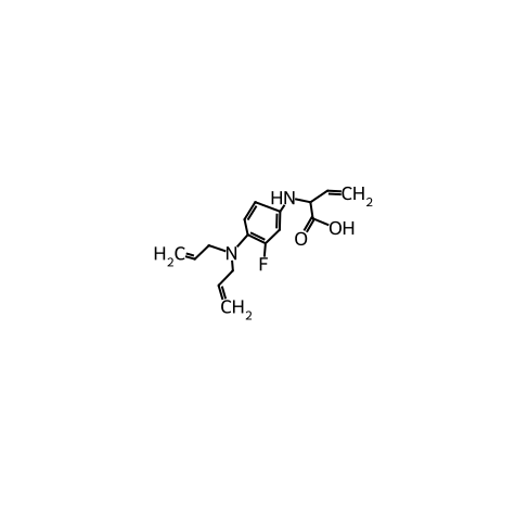 C=CCN(CC=C)c1ccc(NC(C=C)C(=O)O)cc1F